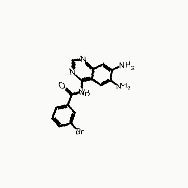 Nc1cc2ncnc(NC(=O)c3cccc(Br)c3)c2cc1N